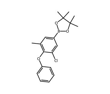 Cc1cc(B2OC(C)(C)C(C)(C)O2)cc(Cl)c1Oc1ccccc1